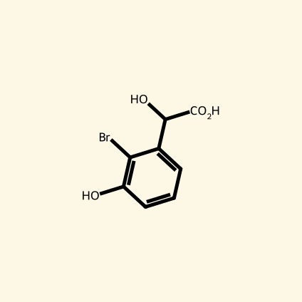 O=C(O)C(O)c1cccc(O)c1Br